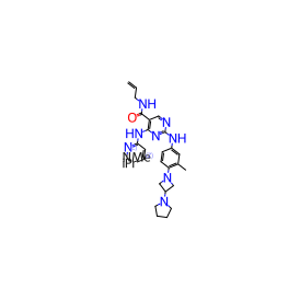 C=CCNC(=O)c1cnc(Nc2ccc(N3CC(N4CCCC4)C3)c(C)c2)nc1NC(/C=C\C(C)C)=N/NC